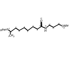 CCCCCC(C)CCCCCCC(=O)NCCCOC